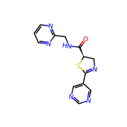 O=C(NCc1ncccn1)[C@H]1CN=C(c2cncnc2)S1